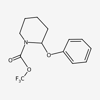 O=C(OC(F)(F)F)N1CCCCC1Oc1ccccc1